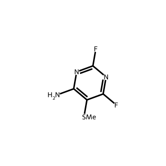 CSc1c(N)nc(F)nc1F